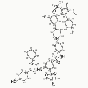 CCn1c(C)c(S(C)(=O)=O)c(-c2cc(F)cc(N3CCN(c4ccc(NS(=O)(=O)c5ccc(N[C@H](CCN6CCC(O)CC6)CSc6ccccc6)c(S(=O)(=O)C(F)(F)F)c5)cc4)CC3)c2)c1-c1ccc(F)cc1